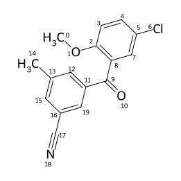 COc1ccc(Cl)cc1C(=O)c1cc(C)cc(C#N)c1